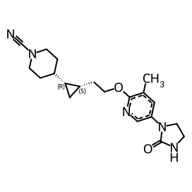 Cc1cc(N2CCNC2=O)cnc1OCC[C@@H]1C[C@@H]1C1CCN(C#N)CC1